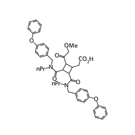 CCCN(Cc1ccc(Oc2ccccc2)cc1)C(=O)C1C(CC(=O)O)C(C(=O)COC)C1C(=O)N(CCC)Cc1ccc(Oc2ccccc2)cc1